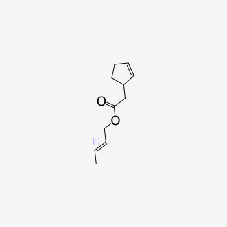 C/C=C/COC(=O)CC1C=CCC1